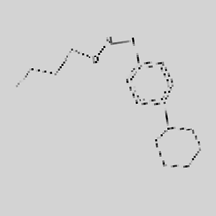 CCCCO/N=[C]\c1ccc(C2CCCCC2)cc1